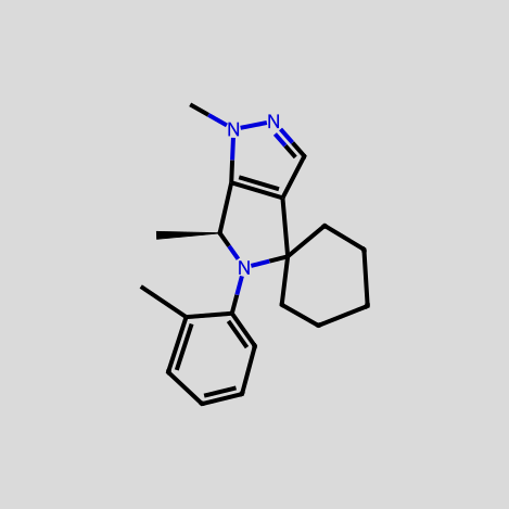 Cc1ccccc1N1[C@@H](C)c2c(cnn2C)C12CCCCC2